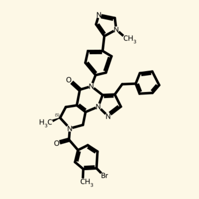 Cc1cc(C(=O)N2Cc3c(c(=O)n(-c4ccc(-c5cncn5C)cc4)c4c(Cc5ccccc5)cnn34)C[C@@H]2C)ccc1Br